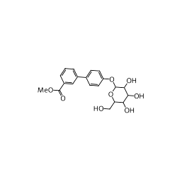 COC(=O)c1cccc(-c2ccc(OC3OC(CO)C(O)C(O)C3O)cc2)c1